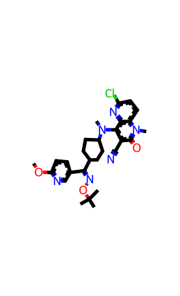 COc1ccc(C(=NOC(C)(C)C)C2CCC(N(C)c3c(C#N)c(=O)n(C)c4ccc(Cl)nc34)CC2)cn1